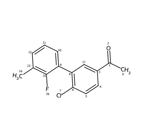 CC(=O)c1ccc(Cl)c(-c2cccc(C)c2F)c1